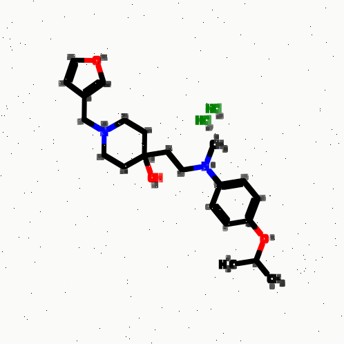 CC(C)Oc1ccc(N(C)CCC2(O)CCN(Cc3ccoc3)CC2)cc1.Cl.Cl